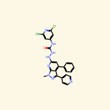 Cn1nc(-c2ccncc2)c2c(-c3ccccc3)cc(NNC(=O)Nc3cc(Cl)nc(Cl)c3)nc21